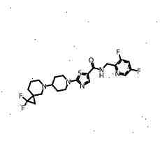 O=C(NCc1ncc(F)cc1F)c1cnc(N2CCC(N3CCCC4(C3)CC4(F)F)CC2)s1